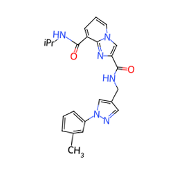 Cc1cccc(-n2cc(CNC(=O)c3cn4cccc(C(=O)NC(C)C)c4n3)cn2)c1